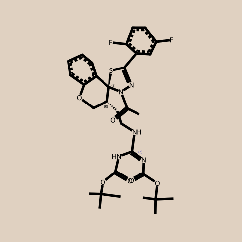 CC(=O)N1N=C(c2cc(F)ccc2F)S[C@@]12c1ccccc1OC[C@H]2CCN/C(=N/C(=O)OC(C)(C)C)NC(=O)OC(C)(C)C